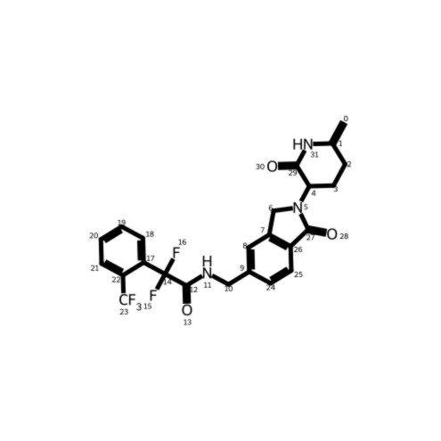 C=C1CCC(N2Cc3cc(CNC(=O)C(F)(F)c4ccccc4C(F)(F)F)ccc3C2=O)C(=O)N1